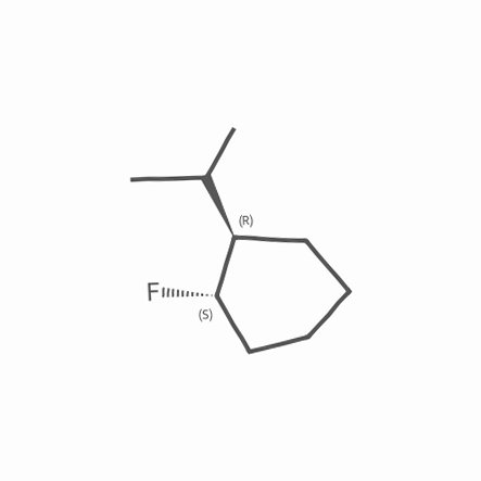 CC(C)[C@H]1CCCC[C@@H]1F